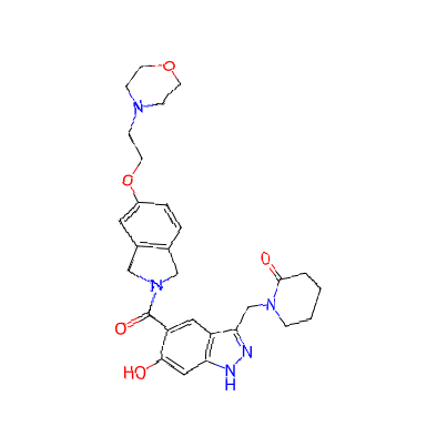 O=C1CCCCN1Cc1n[nH]c2cc(O)c(C(=O)N3Cc4ccc(OCCN5CCOCC5)cc4C3)cc12